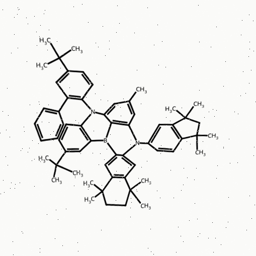 Cc1cc2c3c(c1)N(c1ccc(C(C)(C)C)cc1-c1ccccc1)c1ccc(C(C)(C)C)cc1B3c1cc3c(cc1N2c1ccc2c(c1)C(C)(C)CC2(C)C)C(C)(C)CCC3(C)C